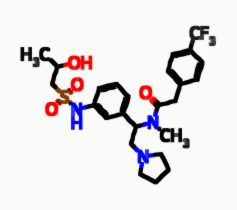 CC(O)CS(=O)(=O)Nc1cccc(C(CN2CCCC2)N(C)C(=O)Cc2ccc(C(F)(F)F)cc2)c1